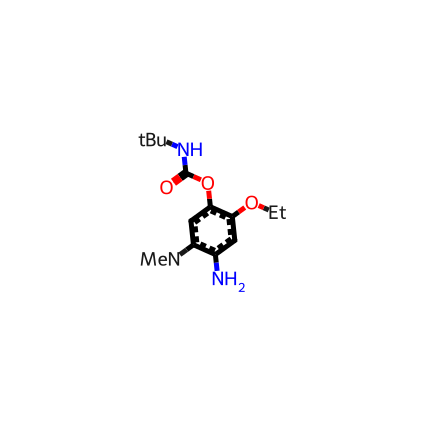 CCOc1cc(N)c(NC)cc1OC(=O)NC(C)(C)C